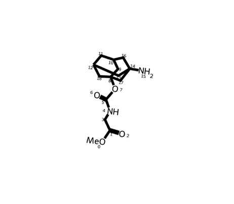 COC(=O)CNC(=O)OC12CC3CC(CC(N)(C3)C1)C2